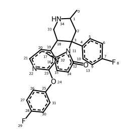 CC1CC(c2ccc(F)cc2)(n2c(=O)ccn2C)C(c2ccnc(Oc3ccc(F)cc3)n2)CN1